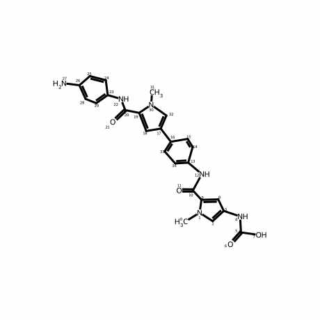 Cn1cc(NC(=O)O)cc1C(=O)Nc1ccc(-c2cc(C(=O)Nc3ccc(N)cc3)n(C)c2)cc1